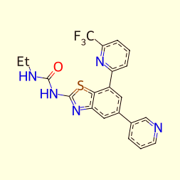 CCNC(=O)Nc1nc2cc(-c3cccnc3)cc(-c3cccc(C(F)(F)F)n3)c2s1